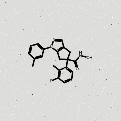 Cc1cccc(-n2ncc3c2CC(C(=O)NO)(c2cccc(F)c2C)C3)c1